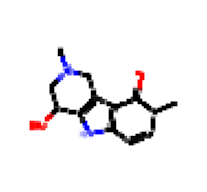 CC1C=Cc2[nH]c3c(c2C1=O)CN(C)CC3O